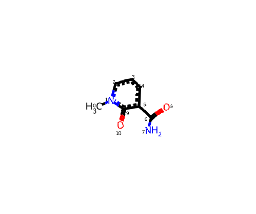 Cn1cc[c]c(C(N)=O)c1=O